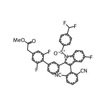 COC(=O)Cc1cc(F)c(-c2cccc(-c3c(-c4c(C#N)cccc4C#N)c4cc(F)ccc4n3[S+]([O-])c3ccc(C(F)F)cc3)c2)c(F)c1